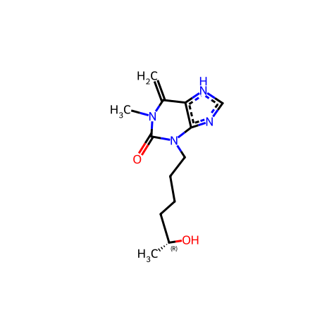 C=C1c2[nH]cnc2N(CCCC[C@@H](C)O)C(=O)N1C